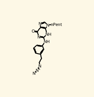 CCCCCn1cnc2c(=O)nc(Nc3cccc(CCN=[N+]=[N-])c3)[nH]c21